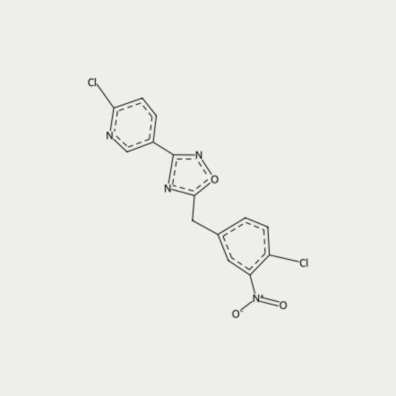 O=[N+]([O-])c1cc(Cc2nc(-c3ccc(Cl)nc3)no2)ccc1Cl